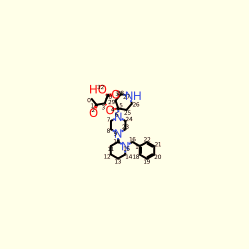 CC(=O)C(OC1(N2CCN(C3CCCCN3Cc3ccccc3)CC2)CCNCC1)C(=O)O